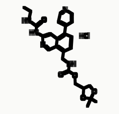 CCNC(=O)Nc1cc2c(-c3ccncc3)ccc(CNC(=O)OCC3COC(C)(C)O3)c2cn1.Cl